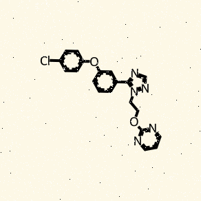 Clc1ccc(Oc2cccc(-c3ncnn3CCOc3ncccn3)c2)cc1